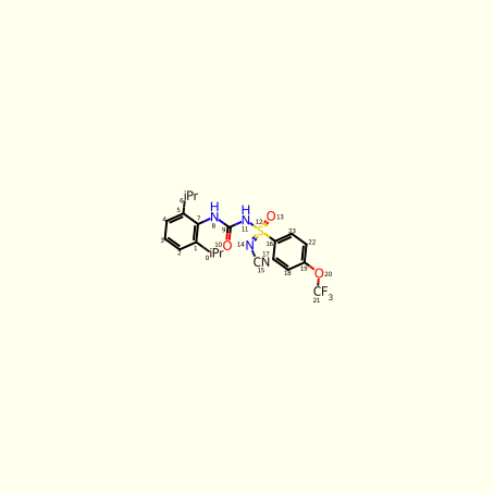 CC(C)c1cccc(C(C)C)c1NC(=O)NS(=O)(=NC#N)c1ccc(OC(F)(F)F)cc1